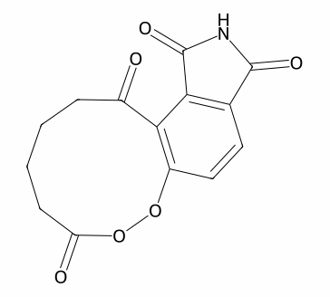 O=C1CCCCC(=O)c2c(ccc3c2C(=O)NC3=O)OO1